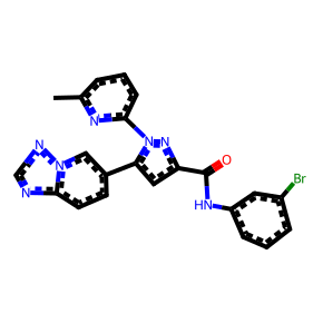 Cc1cccc(-n2nc(C(=O)Nc3cccc(Br)c3)cc2-c2ccc3ncnn3c2)n1